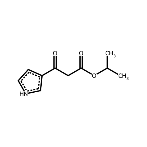 CC(C)OC(=O)CC(=O)c1cc[nH]c1